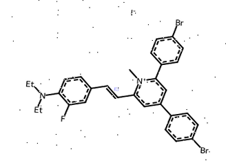 CCN(CC)c1ccc(/C=C/c2cc(-c3ccc(Br)cc3)cc(-c3ccc(Br)cc3)[n+]2C)cc1F.[I-]